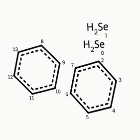 [SeH2].[SeH2].c1ccccc1.c1ccccc1